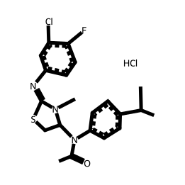 CC(=O)N(c1ccc(C(C)C)cc1)C1CSC(=Nc2ccc(F)c(Cl)c2)N1C.Cl